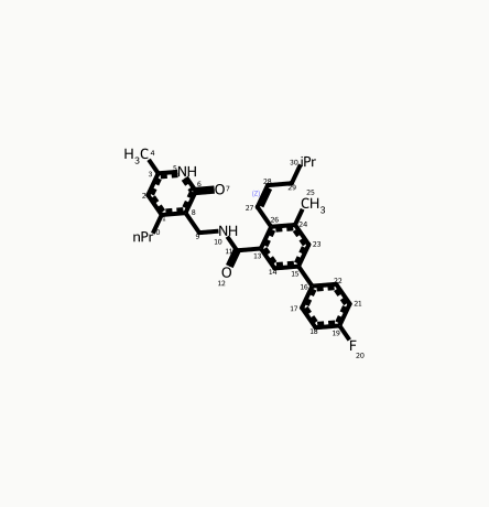 CCCc1cc(C)[nH]c(=O)c1CNC(=O)c1cc(-c2ccc(F)cc2)cc(C)c1/C=C\CC(C)C